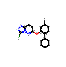 N#Cc1ccc(-c2ccccc2)c(Oc2ccc3nnc(Cl)n3n2)c1